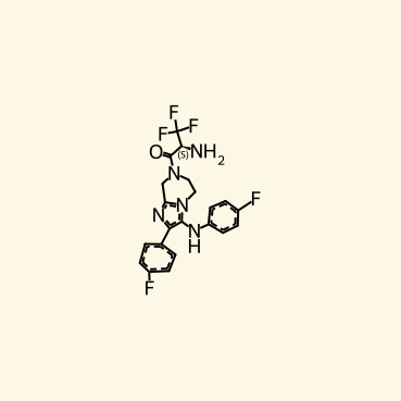 N[C@@H](C(=O)N1CCn2c(nc(-c3ccc(F)cc3)c2Nc2ccc(F)cc2)C1)C(F)(F)F